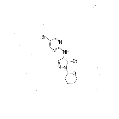 CCC1C(Nc2ncc(Br)cn2)C=NN1C1CCCCO1